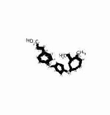 CC=C1CC(Sc2ccc(Sc3ccc(/C=C/C(=O)O)cc3)cc2)CCCC1C